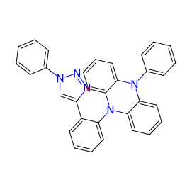 c1ccc(N2c3ccccc3N(c3ccccc3-c3cn(-c4ccccc4)nn3)c3ccccc32)cc1